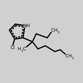 CCCCCC(C)(CCC)c1[nH]ccc1Cl